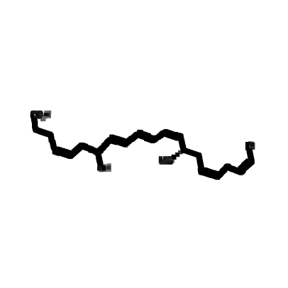 CC/C=C\C/C=C\C[C@H](O)\C=C/C=C/C=C/C(O)C/C=C\CCC(=O)O